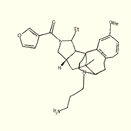 CCC1C2[C@@H](CN1C(=O)c1ccoc1)CC1(C)C3Cc4ccc(OC)cc4C21CCN3CCCN